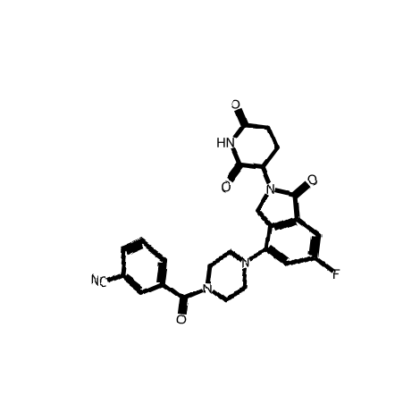 N#Cc1cccc(C(=O)N2CCN(c3cc(F)cc4c3CN(C3CCC(=O)NC3=O)C4=O)CC2)c1